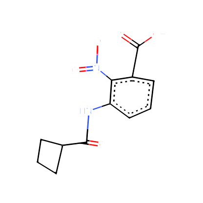 O=C(O)c1cccc(NC(=O)C2CCC2)c1[N+](=O)[O-]